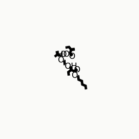 C=C(C)C(=O)OCCO.C=C(CC)C(=O)O.C=C(CC)C(=O)OCCCCCC